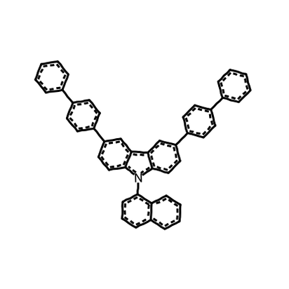 c1ccc(-c2ccc(-c3ccc4c(c3)c3cc(-c5ccc(-c6ccccc6)cc5)ccc3n4-c3cccc4ccccc34)cc2)cc1